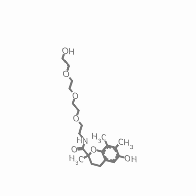 Cc1c(O)cc2c(c1C)OC(C)(C(=O)NCCOCCOCCOCCO)CC2